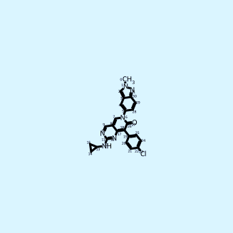 Cn1cc2cc(-n3cc4cnc(NC5CC5)nc4c(-c4ccc(Cl)cc4)c3=O)ccc2n1